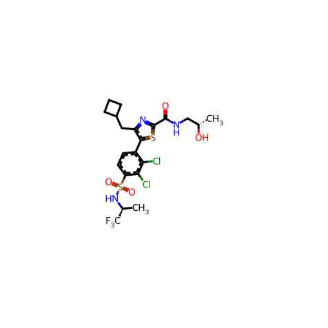 C[C@H](O)CNC(=O)c1nc(CC2CCC2)c(-c2ccc(S(=O)(=O)N[C@@H](C)C(F)(F)F)c(Cl)c2Cl)s1